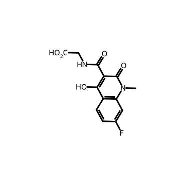 Cn1c(=O)c(C(=O)NCC(=O)O)c(O)c2ccc(F)cc21